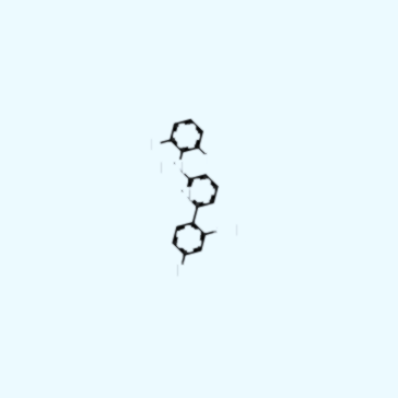 Cc1cc(F)ccc1-c1cccc(Nc2c(F)cccc2F)n1